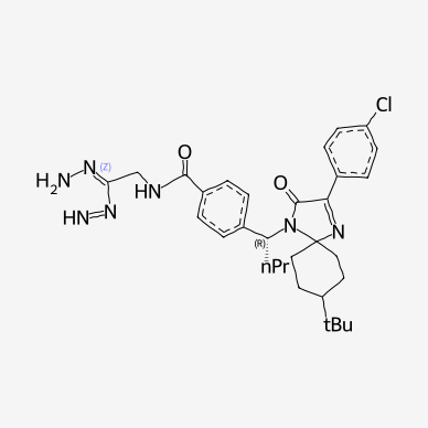 CCC[C@H](c1ccc(C(=O)NC/C(N=N)=N/N)cc1)N1C(=O)C(c2ccc(Cl)cc2)=NC12CCC(C(C)(C)C)CC2